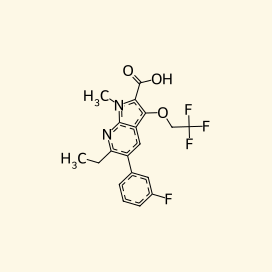 CCc1nc2c(cc1-c1cccc(F)c1)c(OCC(F)(F)F)c(C(=O)O)n2C